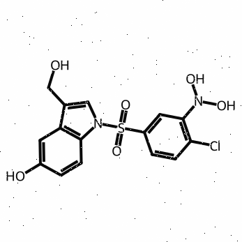 O=S(=O)(c1ccc(Cl)c(N(O)O)c1)n1cc(CO)c2cc(O)ccc21